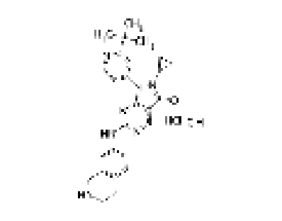 CC(C)(C)c1cc(-n2c3nc(Nc4ccc5c(c4)CNCC5)ncc3c(=O)n2C2CC2)ccn1.Cl.Cl